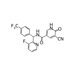 N#Cc1cc(C(=O)NC(c2ccc(C(F)(F)F)cc2)c2ncccc2F)c[nH]c1=O